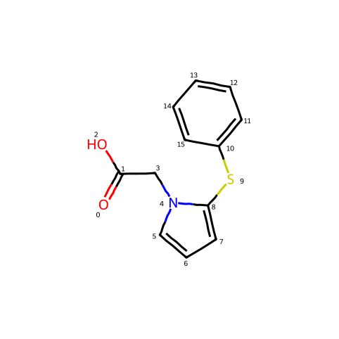 O=C(O)Cn1cccc1Sc1ccccc1